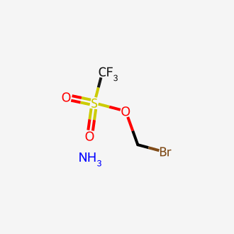 N.O=S(=O)(OCBr)C(F)(F)F